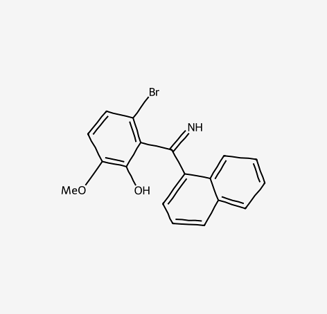 COc1ccc(Br)c(C(=N)c2cccc3ccccc23)c1O